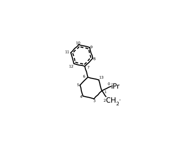 [CH2]C(C)C1([CH2])CCCC(c2ccccc2)C1